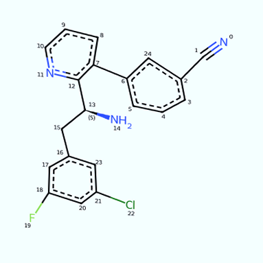 N#Cc1cccc(-c2cccnc2[C@@H](N)Cc2cc(F)cc(Cl)c2)c1